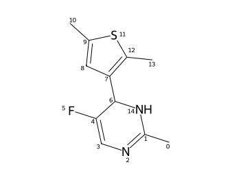 CC1=NC=C(F)C(c2cc(C)sc2C)N1